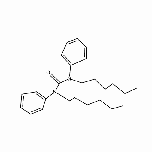 CCCCCCN(C(=O)N(CCCCCC)c1ccccc1)c1ccccc1